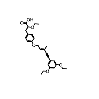 CCOc1cc(C#CC(C)=CCOc2ccc(CC(OCC)C(=O)O)cc2)cc(OCC)c1